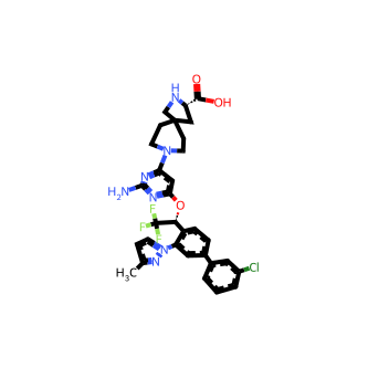 Cc1ccn(-c2cc(-c3cccc(Cl)c3)ccc2[C@@H](Oc2cc(N3CCC4(CC3)CN[C@H](C(=O)O)C4)nc(N)n2)C(F)(F)F)n1